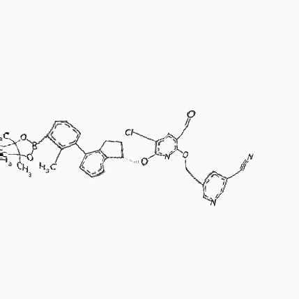 Cc1c(B2OC(C)(C)C(C)(C)O2)cccc1-c1cccc2c1CC[C@@H]2Oc1nc(OCc2cncc(C#N)c2)c(C=O)cc1Cl